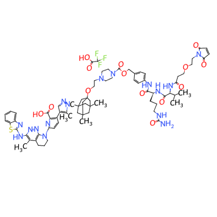 Cc1c(Nc2nc3ccccc3s2)nnc2c1CCCN2c1ccc(-c2cnn(CC34CC5(C)CC(C)(C3)CC(OCCN3CCN(C(=O)OCc6ccc(NC(=O)[C@H](CCCNC(N)=O)NC(=O)[C@@H](NC(=O)CCOCCN7C(=O)C=CC7=O)C(C)C)cc6)CC3)(C5)C4)c2C)c(C(=O)O)n1.O=C(O)C(F)(F)F